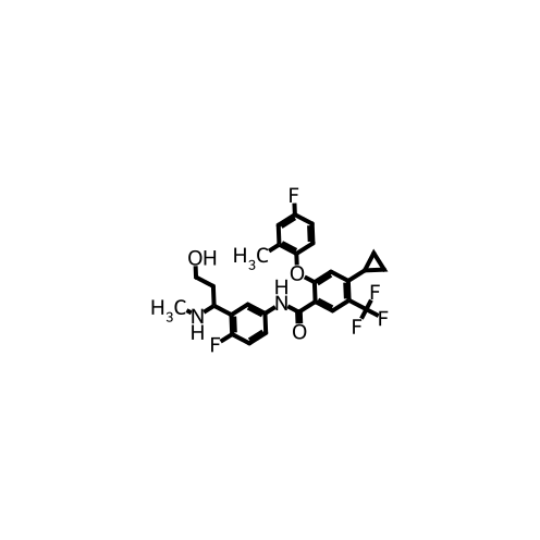 CNC(CCO)c1cc(NC(=O)c2cc(C(F)(F)F)c(C3CC3)cc2Oc2ccc(F)cc2C)ccc1F